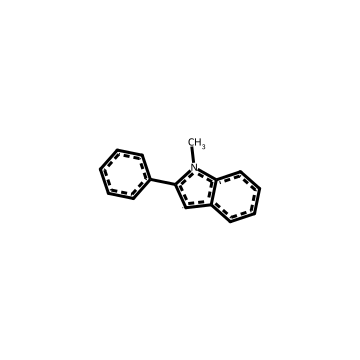 Cn1c(-c2ccccc2)[c]c2ccccc21